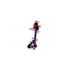 CCc1cccc(N(CC)C(=O)Cn2c(C(=O)N[C@H]3CC[C@H](C(=O)NCCCCCCNC(=O)c4ccc5c(c4)C4(OC5=O)c5ccc(O)cc5Oc5cc(O)ccc54)CC3)cc3ccccc32)c1